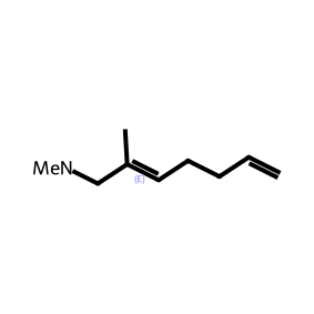 C=CCC/C=C(\C)CNC